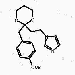 COc1ccc(CC2(CCn3ccnc3)OCCCO2)cc1